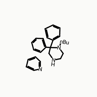 CCCCN1CCNCC1(c1ccccc1)c1ccccc1.c1ccncc1